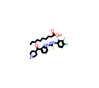 CCCCCCCCCC(=O)O.CN1CCC(C(=O)c2cccc(NC(=S)Nc3ccc(F)c(F)c3F)c2)CC1